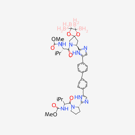 BC1(B)OC2(C[C@@H](c3ncc(-c4ccc(-c5ccc(-c6cnc([C@@H]7CCCN7C(=O)C(NC(=O)OC)C(C)C)[nH]6)cc5)cc4)[nH]3)N(C(=O)[C@@H](NC(=O)OC)C(C)C)C2)OC1(B)B